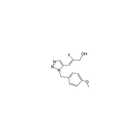 COc1ccc(Cn2nncc2/C=C(\F)CO)cc1